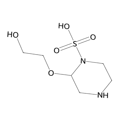 O=S(=O)(O)N1CCNCC1OCCO